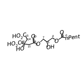 CCCCCC(=O)OCC(O)COC(=O)CC(O)(CC(=O)O)C(=O)O